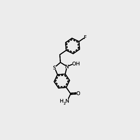 NC(=O)c1ccc2c(c1)N(O)C(Cc1ccc(F)cc1)S2